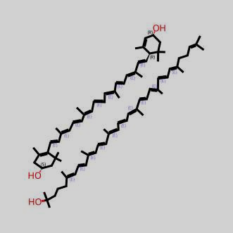 CC(C)=CCC/C(C)=C/C=C/C(C)=C/C=C/C(C)=C/C=C/C=C(C)/C=C/C=C(C)/C=C/C=C(\C)CCCC(C)(C)O.CC1=C[C@H](O)CC(C)(C)[C@H]1/C=C/C(C)=C/C=C/C(C)=C/C=C/C=C(C)/C=C/C=C(C)/C=C/C1=C(C)C[C@@H](O)CC1(C)C